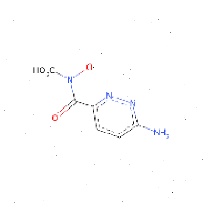 Nc1ccc(C(=O)N([O])C(=O)O)nn1